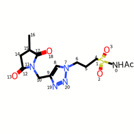 CC(=O)NS(=O)(=O)CCCn1cc(CN2C(=O)CC(C)C2=O)nn1